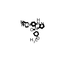 CO[C@H]1CC[C@H](C(=O)N2Cc3cccnc3Nc3ccc(N4CCn5nncc5C4)cc32)CC1